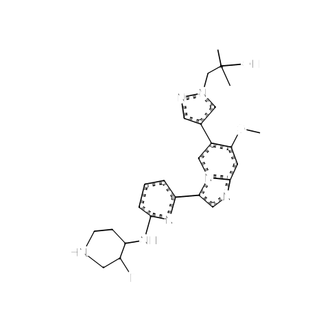 COc1cc2ncc(-c3cccc(NC4CCNCC4F)n3)n2cc1-c1cnn(CC(C)(C)O)c1